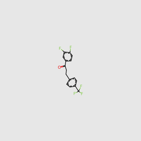 O=C(CCc1ccc(C(F)(F)F)cc1)c1ccc(F)c(F)c1